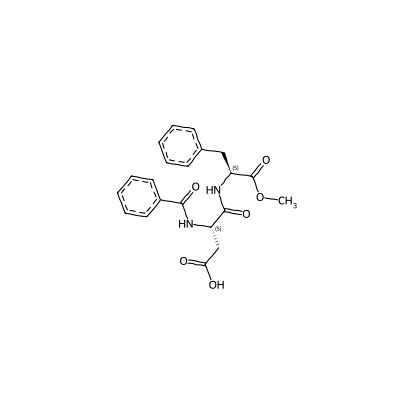 COC(=O)[C@H](Cc1ccccc1)NC(=O)[C@H](CC(=O)O)NC(=O)c1ccccc1